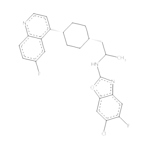 CC(C[C@H]1CC[C@@H](c2ccnc3ccc(F)cc32)CC1)Nc1nc2cc(F)c(Cl)cc2o1